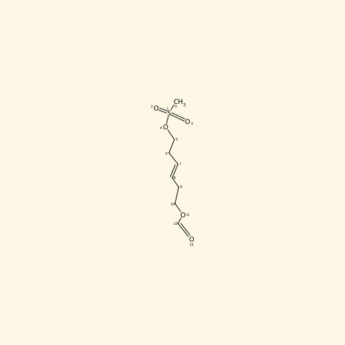 CS(=O)(=O)OCCC=CCCOC=O